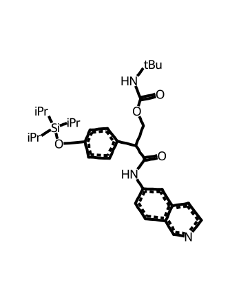 CC(C)[Si](Oc1ccc(C(COC(=O)NC(C)(C)C)C(=O)Nc2ccc3cnccc3c2)cc1)(C(C)C)C(C)C